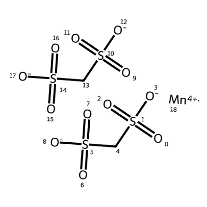 O=S(=O)([O-])CS(=O)(=O)[O-].O=S(=O)([O-])CS(=O)(=O)[O-].[Mn+4]